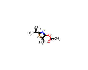 CC(=O)Oc1nc(C(C)C)sc1C